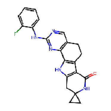 O=C1NC2(CC2)Cc2[nH]c3c(c21)CCc1cnc(Nc2ccccc2F)nc1-3